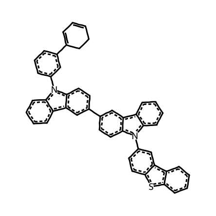 C1=CCCC(c2cccc(-n3c4ccccc4c4cc(-c5ccc6c(c5)c5ccccc5n6-c5ccc6sc7ccccc7c6c5)ccc43)c2)=C1